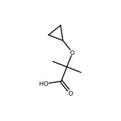 CC(C)(OC1CC1)C(=O)O